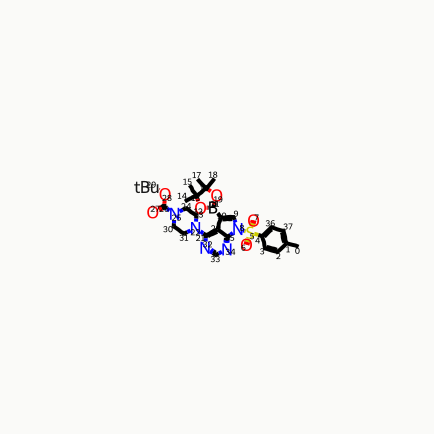 Cc1ccc(S(=O)(=O)n2cc(B3OC(C)(C)C(C)(C)O3)c3c(N4CCN(C(=O)OC(C)(C)C)CC4)ncnc32)cc1